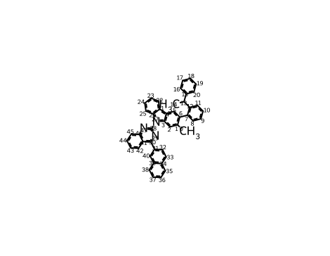 Cc1cc2c(cc1-c1ccccc1C(C)c1ccccc1)c1ccccc1n2-c1nc(-c2ccc3ccccc3c2)c2ccccc2n1